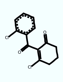 O=C1CCCC(Cl)=C1C(=O)c1ccccc1Cl